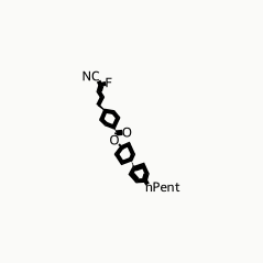 CCCCCc1ccc([C@H]2CC[C@H](OC(=O)[C@H]3CC[C@H](CCC=C(F)C#N)CC3)CC2)cc1